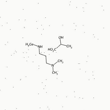 CC(O)C(=O)O.CN(C)CCC[NH][GeH3]